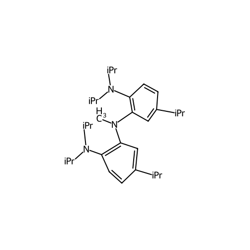 CC(C)c1ccc(N(C(C)C)C(C)C)c(N(C)c2cc(C(C)C)ccc2N(C(C)C)C(C)C)c1